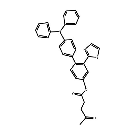 CC(=O)CCC(=O)Oc1ccc(-c2ccc(N(c3ccccc3)c3ccccc3)cc2)c(-c2nccs2)c1